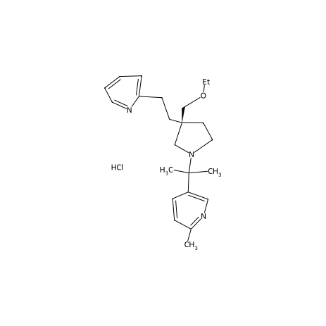 CCOC[C@@]1(CCc2ccccn2)CCN(C(C)(C)c2ccc(C)nc2)C1.Cl